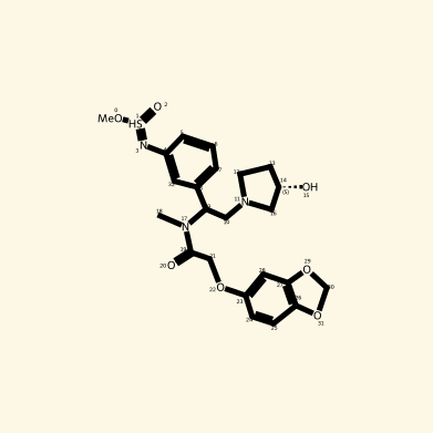 CO[SH](=O)=Nc1cccc(C(CN2CC[C@H](O)C2)N(C)C(=O)COc2ccc3c(c2)OCO3)c1